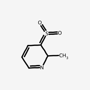 CC1N=CC=CC1=S(=O)=O